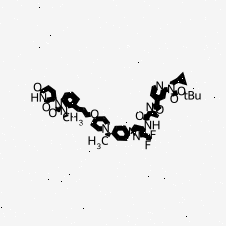 CC([C@H]1CC[C@H](n2cc(NC(=O)c3coc(-c4ccnc(N(CC5CC5)C(=O)OC(C)(C)C)c4)n3)c(C(F)F)n2)CC1)N1CCC(OCCCc2cccc3c2n(C)c(=O)n3C2CCC(=O)NC2=O)CC1